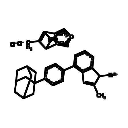 CC1=C2c3cocc3C1[Si]2(C)C.CC1=Cc2c(-c3ccc(C45CC6CC(CC(C6)C4)C5)cc3)cccc2[CH]1[Zr+2].[Cl-].[Cl-]